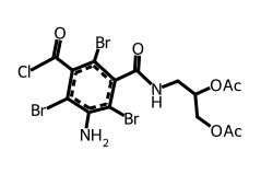 CC(=O)OCC(CNC(=O)c1c(Br)c(N)c(Br)c(C(=O)Cl)c1Br)OC(C)=O